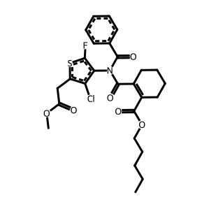 CCCCCOC(=O)C1=C(C(=O)N(C(=O)c2ccccc2)c2c(F)sc(CC(=O)OC)c2Cl)CCCC1